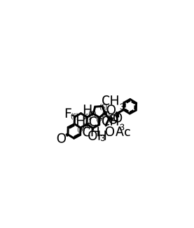 CC(=O)OCC(=O)[C@@]1(OC(=O)c2ccccc2)[C@@H](C)C[C@H]2[C@@H]3C[C@H](F)C4=CC(=O)C=C[C@]4(C)[C@@]3(Cl)C(O)C[C@@]21C